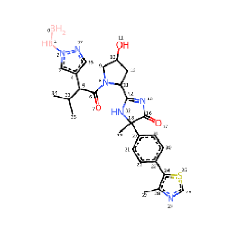 BBn1cc(C(C(=O)N2CC(O)CC2C2=NC(=O)C(C)(c3ccc(-c4scnc4C)cc3)N2)C(C)C)cn1